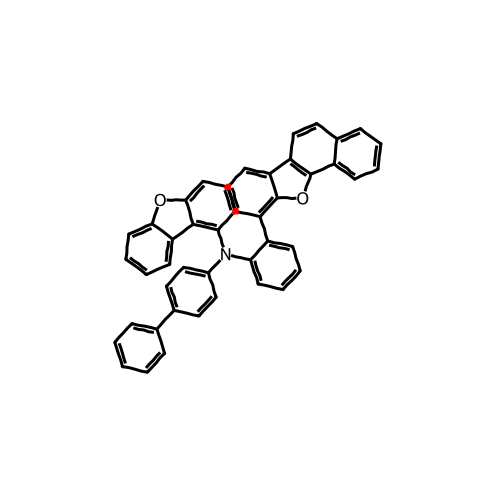 c1ccc(-c2ccc(N(c3ccccc3-c3cccc4c3oc3c5ccccc5ccc43)c3cccc4oc5ccccc5c34)cc2)cc1